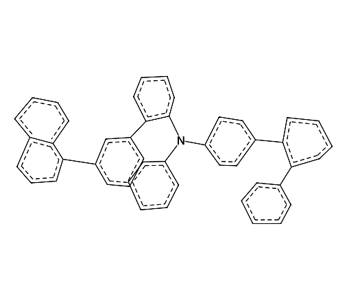 c1ccc(-c2ccccc2-c2ccc(N(c3ccccc3)c3ccccc3-c3cccc(-c4cccc5ccccc45)c3)cc2)cc1